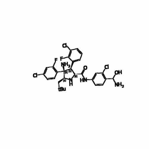 CC(C)(C)C[C@@H]1N[C@@H](C(=O)Nc2ccc(C(N)O)c(Cl)c2)[C@H](c2cccc(Cl)c2F)[C@@]1(N)c1ccc(Cl)cc1F